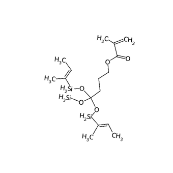 C=C(C)C(=O)OCCCC(O[SiH3])(O[SiH2]C(C)=CC)O[SiH2]C(C)=CC